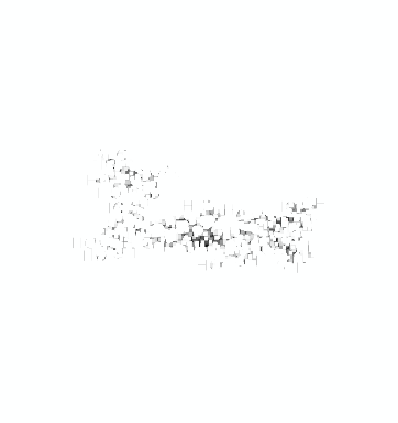 C=CC(C)(O)CC/C=C(\C)C(=O)OC1C(O)C(CO)OC(OC(=O)C23CCC(C)(C)CC2C2=CCC4C5(C)CCC(OC6OC(COC7OCC(OC(C)=O)C(O)C7OC7OC(COC(C)=O)C(O)C(O)C7O)C(O)C(O)C6OC6OCC(O)C(O)C6O)C(C)(C)C5CCC4(C)C2(C)C(O)C3O)C1OC1OCC(OC2OCC(O)C(OC3OCC(O)C(O)C3O)C2O)C(O)C1C